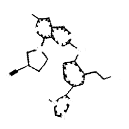 CCCc1cc(-c2nncn2C)ccc1Nc1ncc2cc(C)nc(N3CCC(C#N)C3)c2n1